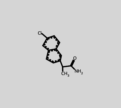 CC(C(N)=O)c1ccc2cc(Cl)ccc2c1